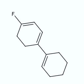 FC1=CC=C(C2=CCCCC2)CC1